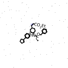 C=C=C(N[C@@H]1CCC(/C=C\C(=O)OCC)C[C@H]1c1ccc(C2=CCCC2)cc1)OCc1ccccc1